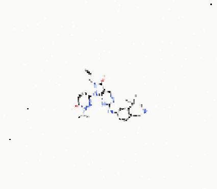 C=CCn1c(=O)c2cnc(Nc3ccc4c(c3)C(C)(C)CN(C)C4)nc2n1-c1ccc(=O)n(C(C)C)n1